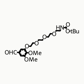 COc1cc(C=O)cc(OCCOCCOCCOCCNC(=O)OC(C)(C)C)c1OC